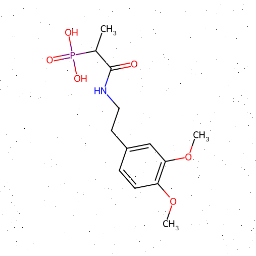 COc1ccc(CCNC(=O)C(C)P(=O)(O)O)cc1OC